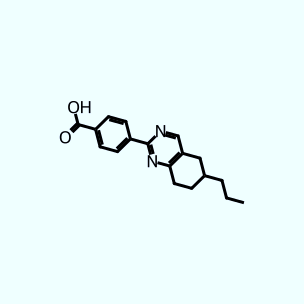 CCCC1CCc2nc(-c3ccc(C(=O)O)cc3)ncc2C1